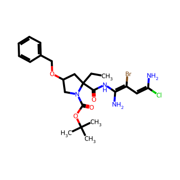 CCC1(C(=O)N/C(N)=C(Br)/C=C(\N)Cl)CC(OCc2ccccc2)CN1C(=O)OC(C)(C)C